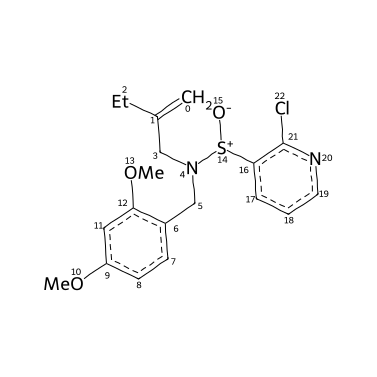 C=C(CC)CN(Cc1ccc(OC)cc1OC)[S+]([O-])c1cccnc1Cl